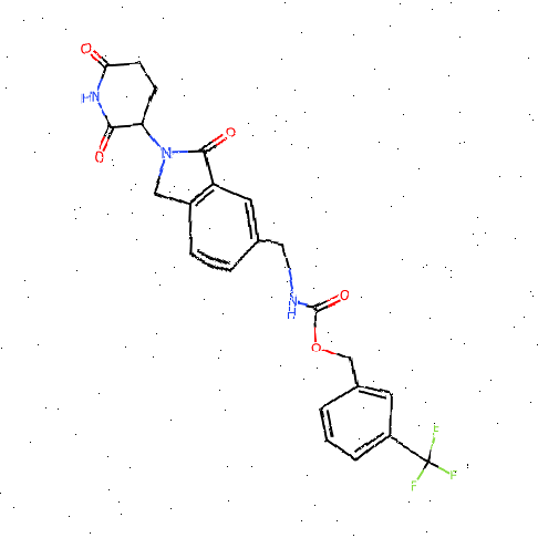 O=C1CCC(N2Cc3ccc(CNC(=O)OCc4cccc(C(F)(F)F)c4)cc3C2=O)C(=O)N1